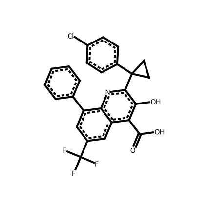 O=C(O)c1c(O)c(C2(c3ccc(Cl)cc3)CC2)nc2c(-c3ccccc3)cc(C(F)(F)F)cc12